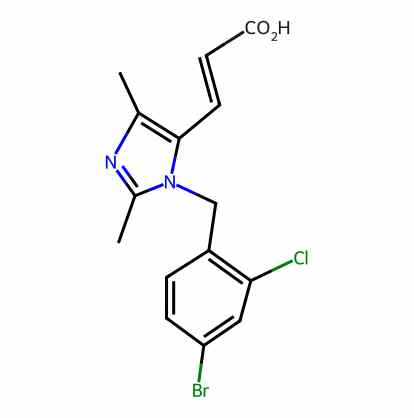 Cc1nc(C)n(Cc2ccc(Br)cc2Cl)c1C=CC(=O)O